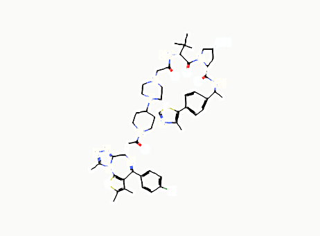 Cc1ncsc1-c1ccc(C(C)NC(=O)[C@@H]2C[C@@H](O)CN2C(=O)[C@@H](NC(=O)CN2CCN(C3CCN(C(=O)C[C@@H]4N=C(c5ccc(Cl)cc5)c5c(sc(C)c5C)-n5c(C)nnc54)CC3)CC2)C(C)(C)C)cc1